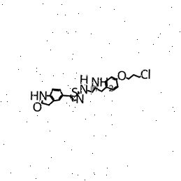 N[C@@H](CNc1ncc(-c2ccc3c(c2)CC(=O)N3)s1)Cc1ccc(OCCCCl)cc1